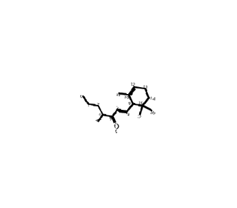 CCCC(C)C(=O)/C=C/C1C(C)=CCCC1(C)C